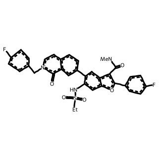 CCS(=O)(=O)Nc1cc2oc(-c3ccc(F)cc3)c(C(=O)NC)c2cc1-c1ccc2ccn(Cc3ccc(F)cc3)c(=O)c2c1